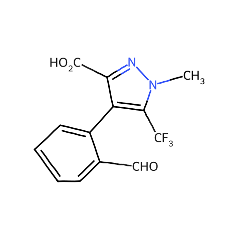 Cn1nc(C(=O)O)c(-c2ccccc2C=O)c1C(F)(F)F